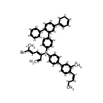 C=C/C(=C\C=C(/C)Br)N(c1ccc(-c2ccc(/C=C\CC)c(C)c2)cc1)c1ccc(-c2cc(C3=CC=CCC3)ccc2-c2ccccc2)cc1